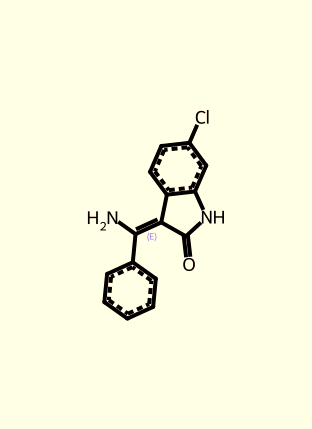 N/C(=C1/C(=O)Nc2cc(Cl)ccc21)c1ccccc1